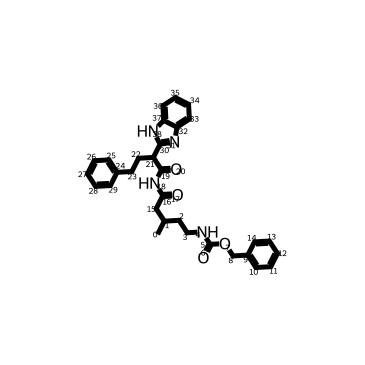 CC(CCNC(=O)OCc1ccccc1)CC(=O)NC(=O)C(CCc1ccccc1)c1nc2ccccc2[nH]1